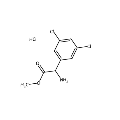 COC(=O)C(N)c1cc(Cl)cc(Cl)c1.Cl